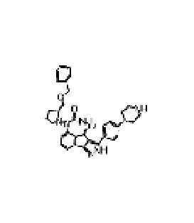 NC(=O)N(c1cccc2c1C(=O)c1c-2n[nH]c1-c1ccc(N2CCNCC2)cc1)N1CCCC1COCc1ccccc1